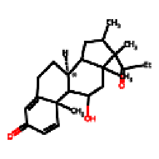 CCC(=O)C1(C)C(C)CC2[C@@H]3CCC4=CC(=O)C=CC4(C)C3C(O)CC21C